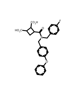 O=C(O)C1CC(C(=O)N(Cc2ccc(F)cc2)Cc2ccc(Oc3ccccc3)cc2)C1C(=O)O